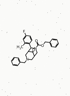 Cc1cc(F)ccc1C1C2CN(Cc3ccccc3)CC(CN1C(=O)OCc1ccccc1)C2=O